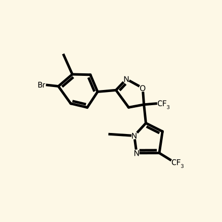 Cc1cc(C2=NOC(c3cc(C(F)(F)F)nn3C)(C(F)(F)F)C2)ccc1Br